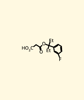 CCC(CC)(OC(=O)CC(=O)O)c1cccc(F)c1